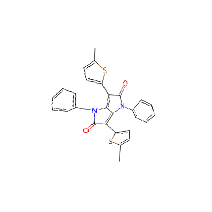 Cc1ccc(C2=C3C(=C(c4ccc(C)s4)C(=O)N3c3ccccc3)N(c3ccccc3)C2=O)s1